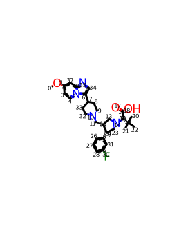 COc1ccn2c(C3CCN(C[C@H]4CN([C@@H](C(=O)O)C(C)(C)C)C[C@@H]4c4cccc(F)c4)CC3)cnc2c1